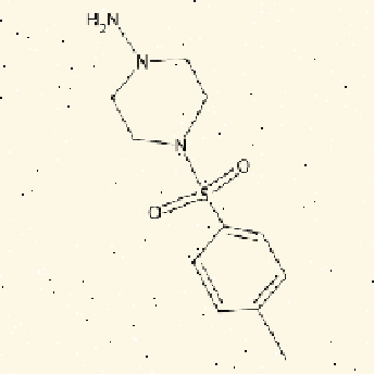 Cc1ccc(S(=O)(=O)N2CCN(N)CC2)cc1